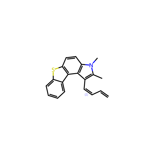 C=C/C=C\c1c(C)n(C)c2ccc3sc4ccccc4c3c12